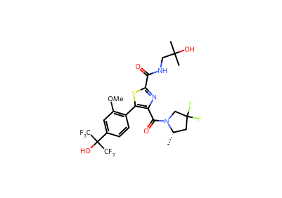 COc1cc(C(O)(C(F)(F)F)C(F)(F)F)ccc1-c1sc(C(=O)NCC(C)(C)O)nc1C(=O)N1CC(F)(F)C[C@@H]1C